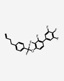 C=CCCc1ccc(C(F)(F)Oc2ccc(-c3cc(F)c(F)c(F)c3)c(F)c2F)cc1